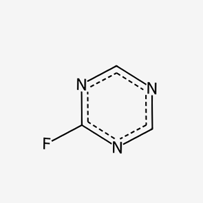 Fc1ncncn1